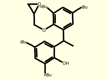 CCCCc1cc(C(C)CC)cc(C(C)c2cc(C(C)CC)cc(CCCC)c2OCC2CO2)c1O